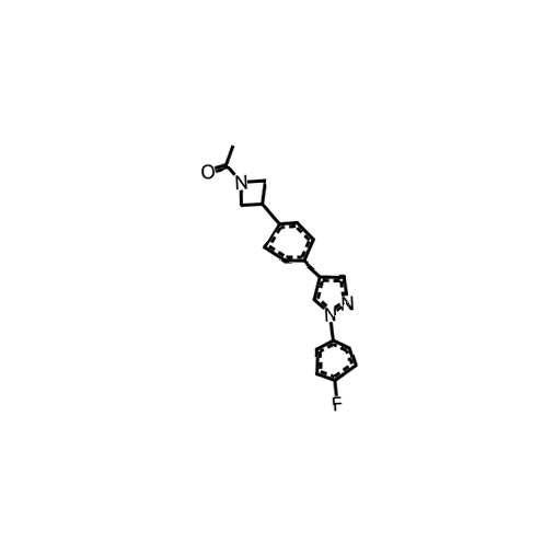 CC(=O)N1CC(c2ccc(-c3cnn(-c4ccc(F)cc4)c3)cc2)C1